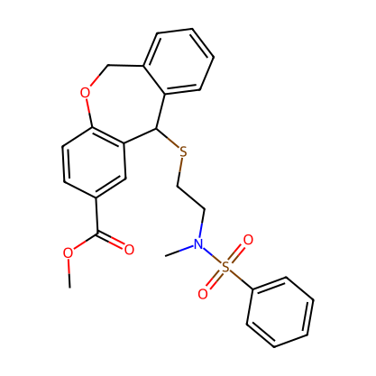 COC(=O)c1ccc2c(c1)C(SCCN(C)S(=O)(=O)c1ccccc1)c1ccccc1CO2